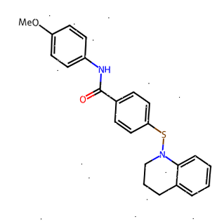 COc1ccc(NC(=O)c2ccc(SN3CCCc4ccccc43)cc2)cc1